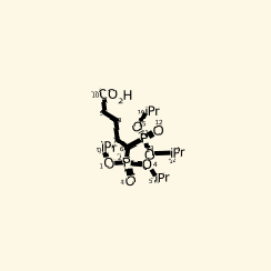 CC(C)OP(=O)(OC(C)C)C(CCCC(=O)O)P(=O)(OC(C)C)OC(C)C